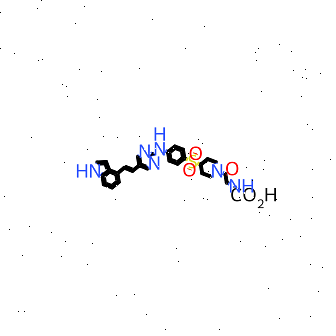 O=C(O)NCC(=O)N1CCC(S(=O)(=O)c2ccc(Nc3ncc(C=Cc4cccc5[nH]ccc45)cn3)cc2)CC1